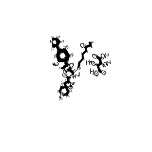 CCC(=O)CCCCC[C@H](NC(=O)C1=NOC2(CCN(C)CC2)C1)c1ncc(-c2ccc(-c3cccnc3)cc2OC)o1.O=C(O)[C@H](O)[C@@H](O)C(=O)O